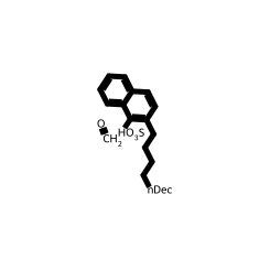 C=O.CCCCCCCCCCCCCCc1ccc2ccccc2c1S(=O)(=O)O